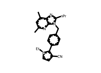 CCCc1nc2c(C)cc(C)nc2n1Cc1ccc(-c2c(C#N)ccn2CC)cc1